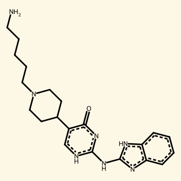 NCCCCCN1CCC(c2c[nH]c(Nc3nc4ccccc4[nH]3)nc2=O)CC1